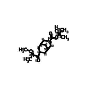 CON(C)C(=O)C1CC2CC(C1)CN(C(=O)OC(C)(C)C)C2